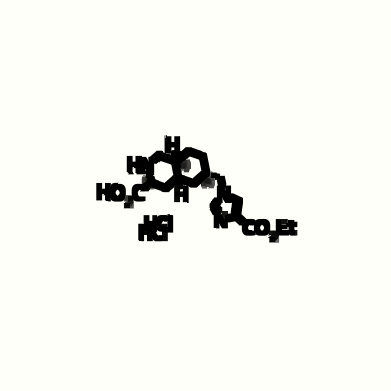 CCOC(=O)c1cn(C[C@H]2CC[C@H]3CN[C@H](C(=O)O)C[C@H]3C2)cn1.Cl.Cl